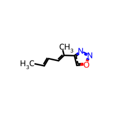 CC=CC=C(C)c1conn1